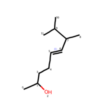 CC(O)CC/C=C/C(C)C(C)C